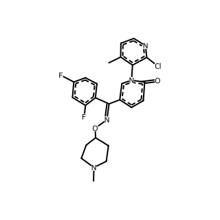 Cc1ccnc(Cl)c1-n1cc(C(=NOC2CCN(C)CC2)c2ccc(F)cc2F)ccc1=O